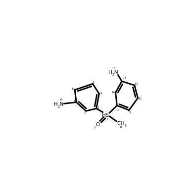 C[SH](=O)(c1cccc(N)c1)c1cccc(N)c1